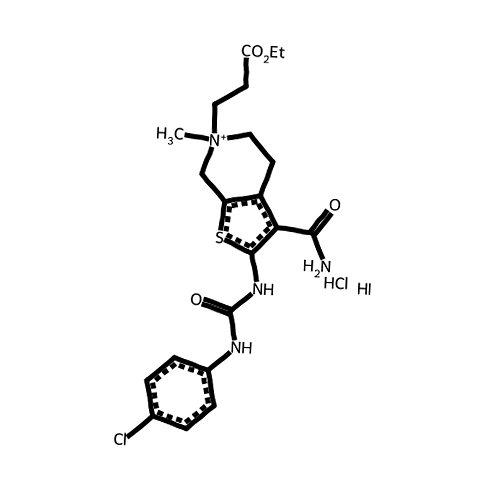 CCOC(=O)CC[N+]1(C)CCc2c(sc(NC(=O)Nc3ccc(Cl)cc3)c2C(N)=O)C1.Cl.I